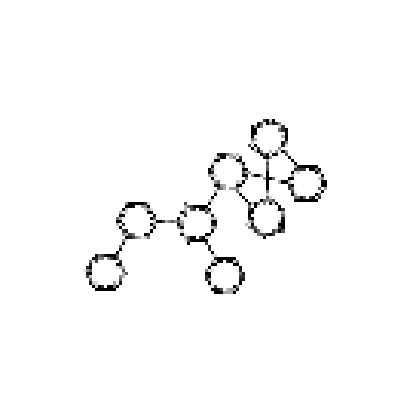 c1ccc(-c2cc(-c3cccc4c3-c3ccccc3C43c4ccccc4-c4ccccc43)nc(-c3cccc(-c4ccccn4)c3)n2)cc1